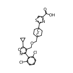 O=C(O)c1csc(C23CCC(COCc4c(-c5c(Cl)cccc5Cl)noc4C4CC4)(CC2)CC3)n1